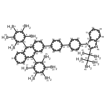 Bc1c(B)c(B)c(-c2c3ccccc3c(-c3c(B)c(B)c(B)c(B)c3B)c3cc(-c4ccc(-c5ccc(-n6c(C(B)(B)C(B)(B)B)nc7ccccc76)cc5)cc4)ccc23)c(B)c1B